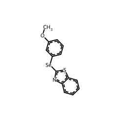 COc1cccc([Se]c2nc3ccccc3s2)c1